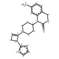 Cc1ccc2c(c1)N(C1CCN(C3=CCN3c3nccs3)CC1)C(=O)OC2